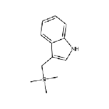 C[Si](C)(C)Cc1c[nH]c2ccccc12